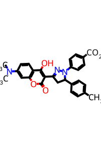 Cc1ccc(C2CC(c3c(O)c4ccc(N(C)C)cc4oc3=O)=NN2c2ccc(C(=O)O)cc2)cc1